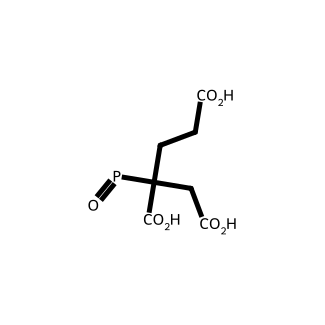 O=PC(CCC(=O)O)(CC(=O)O)C(=O)O